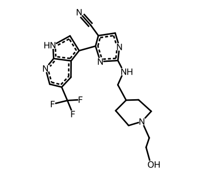 N#Cc1cnc(NCC2CCN(CCO)CC2)nc1-c1c[nH]c2ncc(C(F)(F)F)cc12